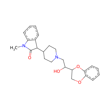 CN1C(=O)C(C2CCN(CC(O)C3COc4ccccc4O3)CC2)c2ccccc21